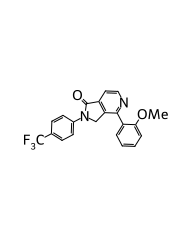 COc1ccccc1-c1nccc2c1CN(c1ccc(C(F)(F)F)cc1)C2=O